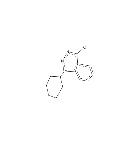 Clc1nnc(C2CCCCC2)c2ccccc12